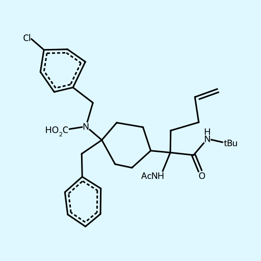 C=CCCC(NC(C)=O)(C(=O)NC(C)(C)C)C1CCC(Cc2ccccc2)(N(Cc2ccc(Cl)cc2)C(=O)O)CC1